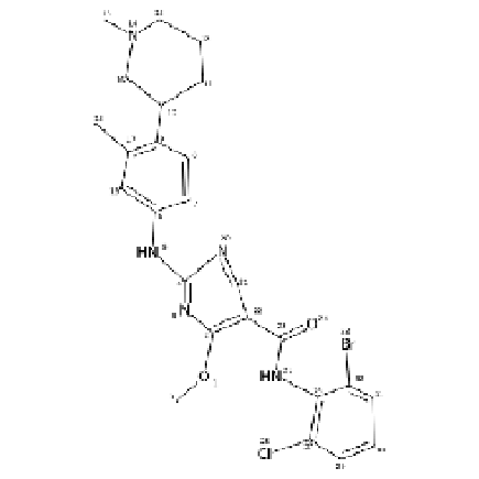 COc1nc(Nc2ccc(C3CCCN(C)C3)c(C)c2)ncc1C(=O)Nc1c(Cl)cccc1Br